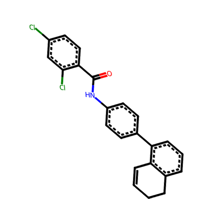 O=C(Nc1ccc(-c2cccc3c2C=CCC3)cc1)c1ccc(Cl)cc1Cl